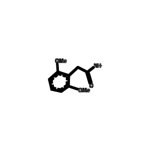 COc1cccc(OC)c1CC([NH])=O